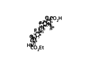 CCOC(=O)NC[C@H]1CN(c2ccc(N3CCN(c4cc5c(cc4F)c(=O)c(C(=O)O)cn5C4CC4)CC3)c(F)c2)C(=O)O1